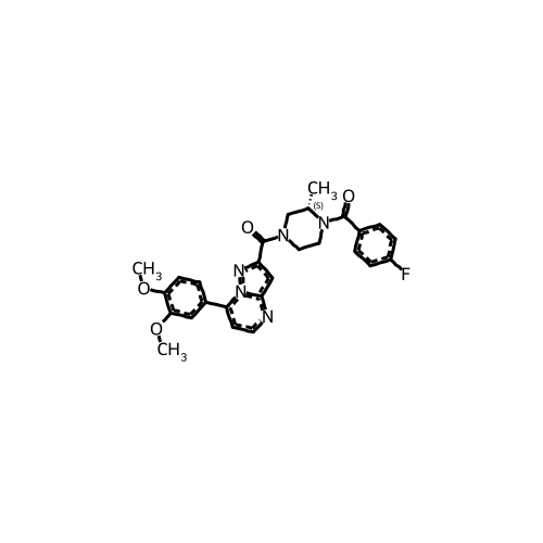 COc1ccc(-c2ccnc3cc(C(=O)N4CCN(C(=O)c5ccc(F)cc5)[C@@H](C)C4)nn23)cc1OC